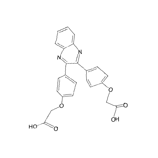 O=C(O)COc1ccc(-c2nc3ccccc3nc2-c2ccc(OCC(=O)O)cc2)cc1